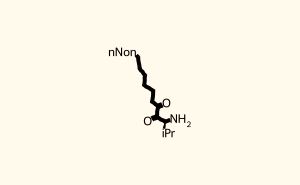 CCCCCCCCCCCCCCCC(=O)C(=O)[C@@H](N)C(C)C